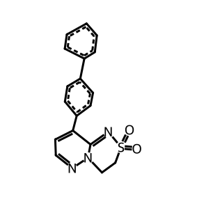 O=S1(=O)CCN2N=CC=C(c3ccc(-c4ccccc4)cc3)C2=N1